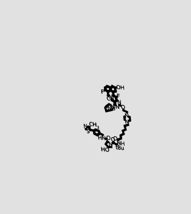 C#Cc1c(F)ccc2cc(O)cc(-c3ncc4c(N5CC6CCC(C5)N6)nc(OCCN5CCN(CCCCCCCC(=O)N[C@H](C(=O)N6C[C@H](O)C[C@H]6C(=O)NCc6ccc(-c7scnc7C)cc6)C(C)(C)C)CC5)nc4c3F)c12